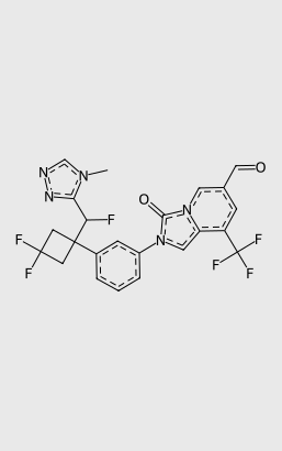 Cn1cnnc1C(F)C1(c2cccc(-n3cc4c(C(F)(F)F)cc(C=O)cn4c3=O)c2)CC(F)(F)C1